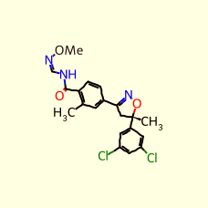 CO/N=C\NC(=O)c1ccc(C2=NO[C@](C)(c3cc(Cl)cc(Cl)c3)C2)cc1C